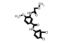 COCC(=O)Nc1cc(C(=O)Nc2ccc(Cl)c(Cl)c2)ccc1OC